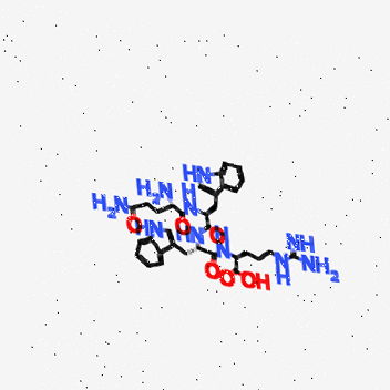 N=C(N)NCCC[C@H](NC(=O)[C@H](Cc1c[nH]c2ccccc12)NC(=O)[C@H](Cc1c[nH]c2ccccc12)NC(=O)[C@@H](N)CCC(N)=O)C(=O)O